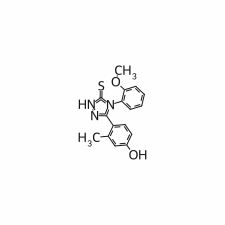 COc1ccccc1-n1c(-c2ccc(O)cc2C)n[nH]c1=S